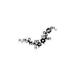 CCOC(=O)CCNC(=O)N[C@H]1CCN(c2ccc(C(=N)NOC(=O)N3CCN(C)CC3)cc2)C1=O